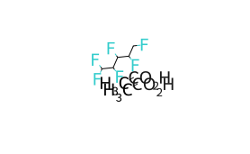 CC(=O)O.CC(=O)O.FCC(F)C(F)C(F)C(F)F